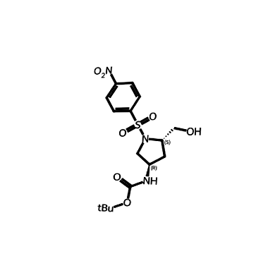 CC(C)(C)OC(=O)N[C@@H]1C[C@@H](CO)N(S(=O)(=O)c2ccc([N+](=O)[O-])cc2)C1